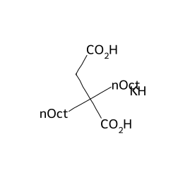 CCCCCCCCC(CCCCCCCC)(CC(=O)O)C(=O)O.[KH]